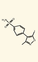 Cc1noc(I)c1-c1ccc(S(N)(=O)=O)cc1